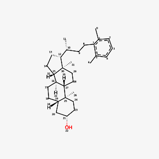 Cc1cccc(C)c1CC[C@@H](C)[C@H]1CC[C@H]2[C@@H]3CC[C@H]4C[C@@H](O)CC[C@]4(C)[C@H]3CC[C@]12C